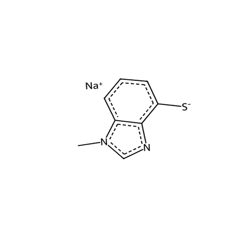 Cn1cnc2c([S-])cccc21.[Na+]